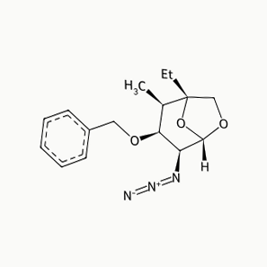 CC[C@@]12CO[C@@H](O1)[C@@H](N=[N+]=[N-])[C@@H](OCc1ccccc1)[C@H]2C